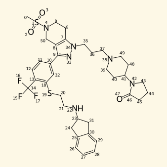 CS(=O)(=O)N1CCc2c(c(-c3ccc(C(F)(F)F)c(SCCNC4Cc5ccccc5C4)c3)nn2CCCN2CCC(N3CCCC3=O)CC2)C1